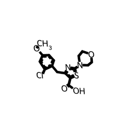 COc1ccc(Cc2nc(N3CCOCC3)sc2C(=O)O)c(Cl)c1